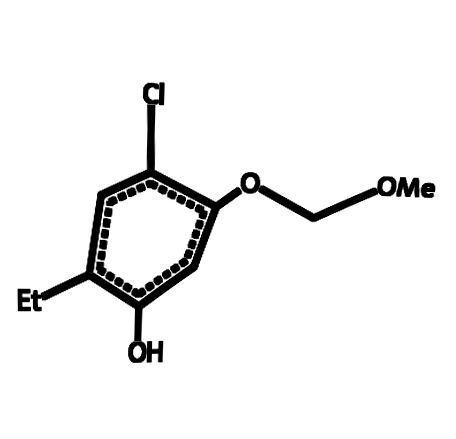 CCc1cc(Cl)c(OCOC)cc1O